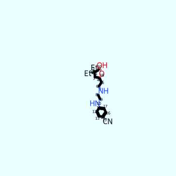 CCC1(CC)CC(CCNCCNc2ccc(C#N)cc2)OC1O